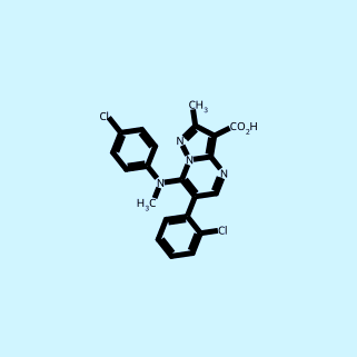 Cc1nn2c(N(C)c3ccc(Cl)cc3)c(-c3ccccc3Cl)cnc2c1C(=O)O